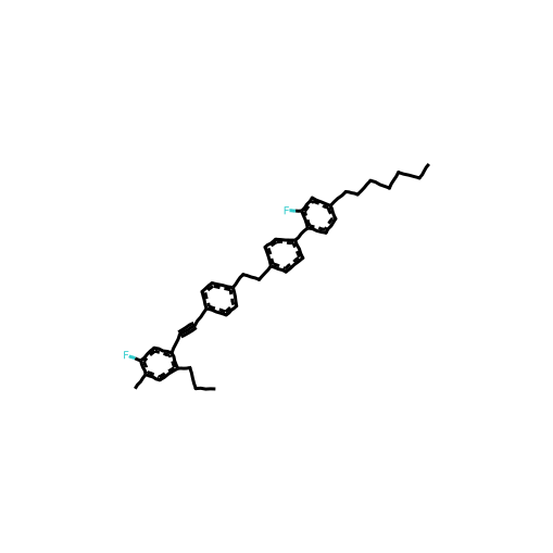 CCCCCCCc1ccc(-c2ccc(CCc3ccc(C#Cc4cc(F)c(C)cc4CCC)cc3)cc2)c(F)c1